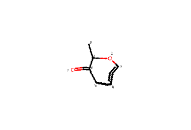 CC1OC=CCC1=O